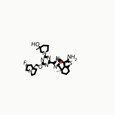 C[C@@]1(O)CCCN(c2nc(OC[C@@]34CCCN3C[C@H](F)C4)nc(-c3noc([C@]4(C)CCCc5sc(N)c(C#N)c54)n3)n2)C1